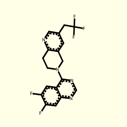 Fc1cc2ncnc(N3CCc4ncc(CC(F)(F)F)cc4C3)c2cc1F